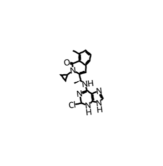 Cc1cccc2cc([C@H](C)NC3=NC(Cl)Nc4[nH]cnc43)n(C3CC3)c(=O)c12